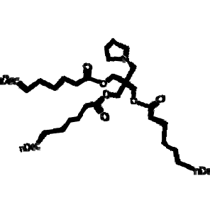 CCCCCCCCCCCCCCCC(=O)OCC(COC(=O)CCCCCCCCCCCCCCC)(COC(=O)CCCCCCCCCCCCCCC)CN1CCCC1